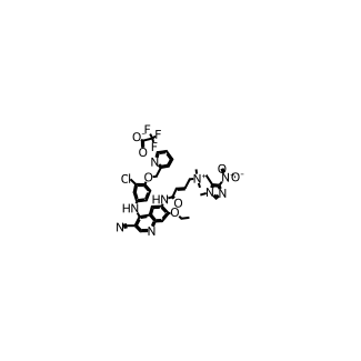 CCOc1cc2ncc(C#N)c(Nc3ccc(OCc4ccccn4)c(Cl)c3)c2cc1NC(=O)/C=C/C[N+](C)(C)Cc1c([N+](=O)[O-])ncn1C.O=C([O-])C(F)(F)F